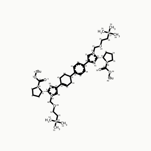 CC(C)(C)OC(=O)N1CCC[C@H]1c1nc(C2=CCC(c3ccc(-c4cn(COCC[Si](C)(C)C)c([C@@H]5CCCN5C(=O)OC(C)(C)C)n4)cc3)CC2)cn1COCC[Si](C)(C)C